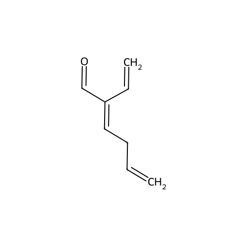 C=CC/C=C(\C=C)C=O